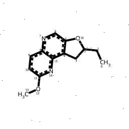 CCC1Cc2c(cnc3ccc(OC)nc23)O1